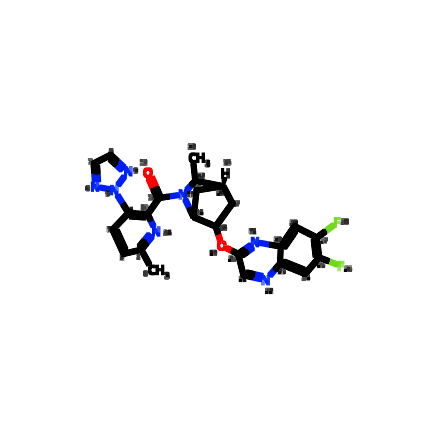 Cc1ccc(-n2nccn2)c(C(=O)N2C3C[C@H](CC3Oc3cnc4cc(F)c(F)cc4n3)C2C)n1